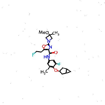 COC1(C)CN(c2nc(C(=O)Nc3cc(C)c(OC4CC5CC5C4)c(F)c3)c(CCF)o2)C1